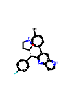 N#Cc1ccc(-c2cc3[nH]ccc3nc2C(c2ccc(F)cc2)[C@@H]2CCNC2)cc1